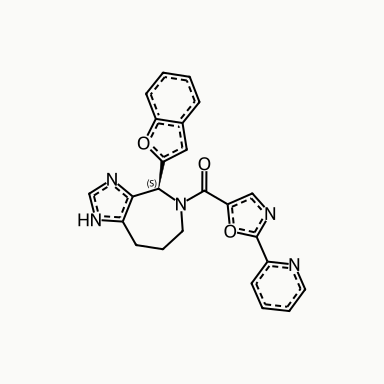 O=C(c1cnc(-c2ccccn2)o1)N1CCCc2[nH]cnc2[C@H]1c1cc2ccccc2o1